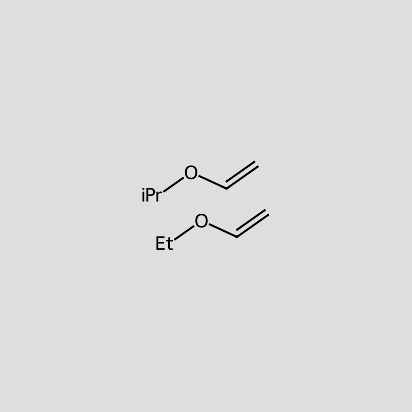 C=COC(C)C.C=COCC